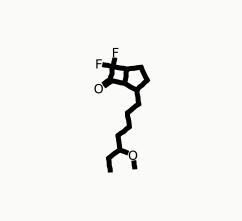 CCC(CCCCC1CCC2C1C(=O)C2(F)F)OC